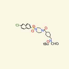 CC(C)(C)ON(C=O)CC1CCC(C(=O)N2CCCN(S(=O)(=O)c3ccc4cc(Cl)ccc4c3)CC2)CC1